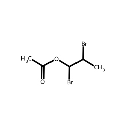 CC(=O)OC(Br)C(C)Br